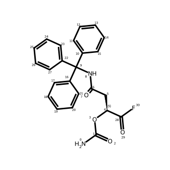 NC(=O)O[C@@H](CC(=O)NC(c1ccccc1)(c1ccccc1)c1ccccc1)C(=O)F